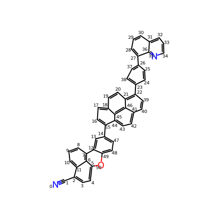 N#Cc1ccc2c3c(cccc13)-c1cc(-c3ccc4ccc5c(-c6ccc(-c7cccc8cccnc78)cc6)ccc6ccc3c4c65)ccc1O2